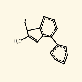 CC1=Cc2c(-c3ccccc3)cccc2[CH]1[Ti]